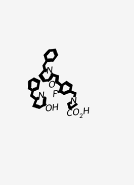 O=C(O)C1CN(Cc2ccc(-c3cc4nc(Cc5ccccc5)ccc4o3)c(F)c2)C1.Oc1ccc(Cc2ccccc2)nc1